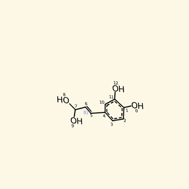 Oc1ccc(/C=C/C(O)O)cc1O